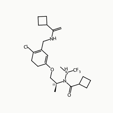 C=C(NCC1=C(Cl)CCC(OC[C@H](C)N(C(=O)C2CCC2)[SH](C)C(F)(F)F)=C1)C1CCC1